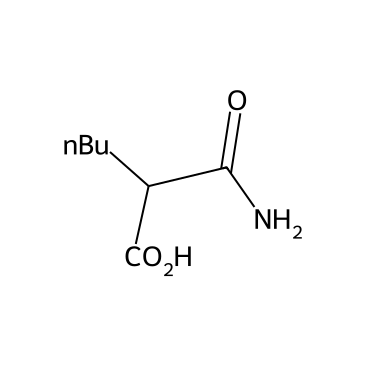 CCCCC(C(N)=O)C(=O)O